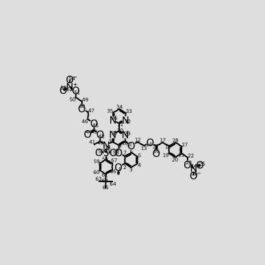 COc1ccccc1Oc1c(OCCOC(=O)Cc2ccc(CO[N+](=O)[O-])cc2)nc(-c2ncccn2)nc1N(C(C)OC(=O)OCCOCCO[N+](=O)[O-])S(=O)(=O)c1ccc(C(C)(C)C)cc1